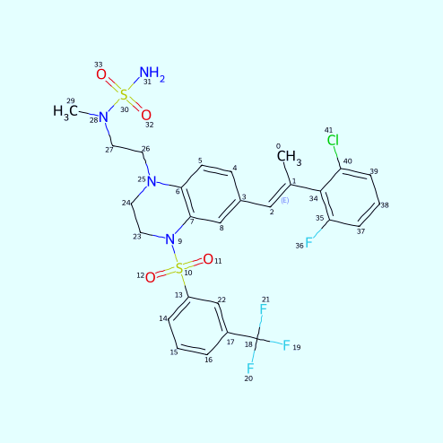 C/C(=C\c1ccc2c(c1)N(S(=O)(=O)c1cccc(C(F)(F)F)c1)CCN2CCN(C)S(N)(=O)=O)c1c(F)cccc1Cl